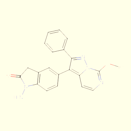 CC(C)Oc1nccc2c(-c3ccc4c(c3)CC(=O)N4N)c(-c3ccccc3)nn12